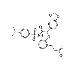 COC(=O)CCc1ccccc1OC(C(=O)NS(=O)(=O)c1ccc(C(C)C)cc1)c1ccc2c(c1)OCO2